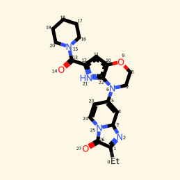 CCC1=NC2C=C(N3CCOc4cc(C(=O)N5CCCCC5)[nH]c43)C=CN2C1=O